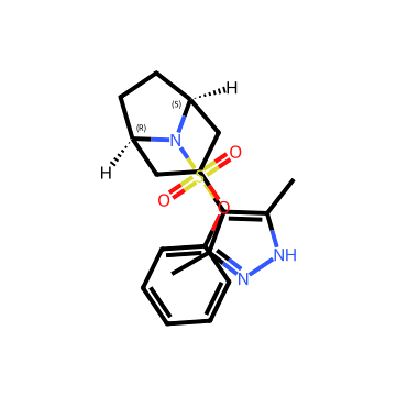 Cc1n[nH]c(C)c1S(=O)(=O)N1[C@@H]2CC[C@H]1CC(Oc1ccccc1)C2